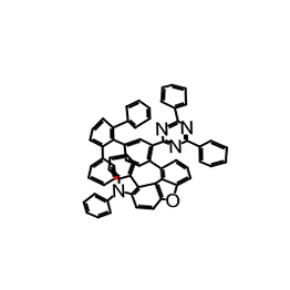 c1ccc(-c2nc(-c3ccccc3)nc(-c3cc(-c4c(-c5ccccc5)cccc4-c4ccccc4)ccc3-c3cccc4oc5ccc6c(c7ccccc7n6-c6ccccc6)c5c34)n2)cc1